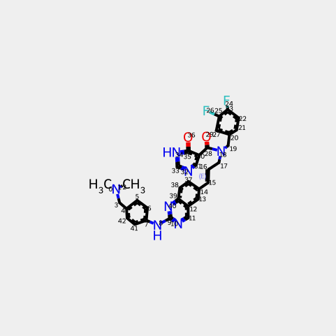 CN(C)Cc1ccc(Nc2ncc3cc(/C=C/CN(Cc4ccc(F)c(F)c4)C(=O)c4cnc[nH]c4=O)ccc3n2)cc1